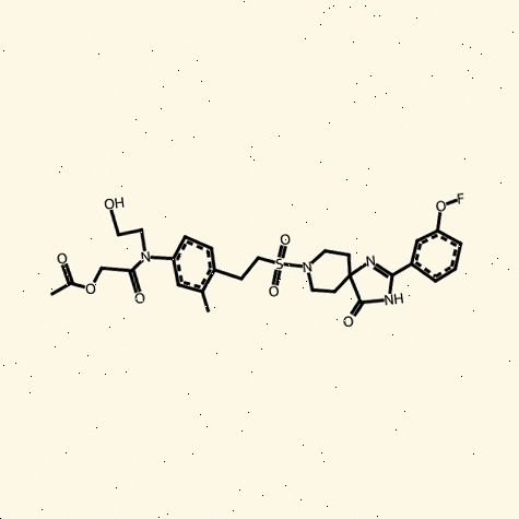 CC(=O)OCC(=O)N(CCO)c1ccc(CCS(=O)(=O)N2CCC3(CC2)N=C(c2cccc(OF)c2)NC3=O)c(C)c1